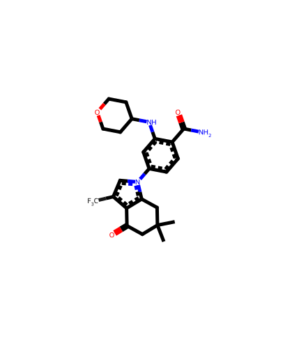 CC1(C)CC(=O)c2c(C(F)(F)F)cn(-c3ccc(C(N)=O)c(NC4CCOCC4)c3)c2C1